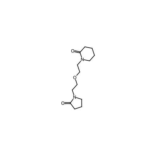 O=C1CCCCN1CCOCCN1CCCC1=O